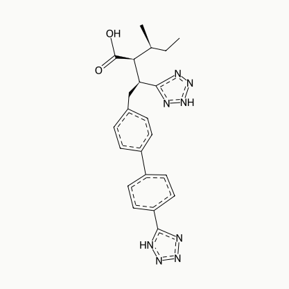 CC[C@H](C)[C@H](C(=O)O)[C@H](Cc1ccc(-c2ccc(-c3nnn[nH]3)cc2)cc1)c1nn[nH]n1